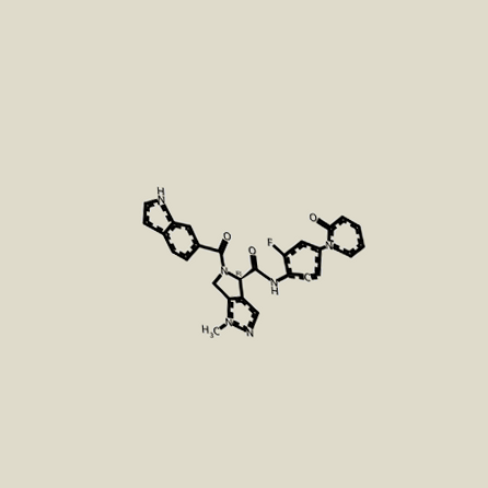 Cn1ncc2c1CN(C(=O)c1ccc3cc[nH]c3c1)[C@H]2C(=O)Nc1ccc(-n2ccccc2=O)cc1F